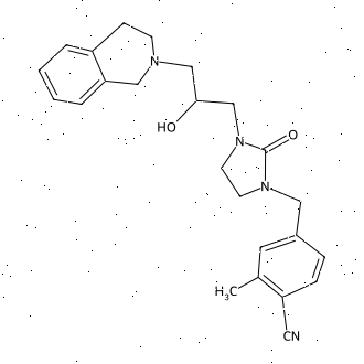 Cc1cc(CN2CCN(CC(O)CN3CCc4ccccc4C3)C2=O)ccc1C#N